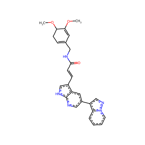 COC1=CC(CNC(=O)/C=C/c2c[nH]c3ncc(-c4cnn5ccccc45)cc23)=CCC1OC